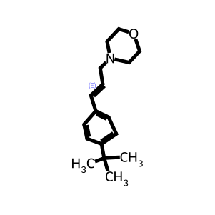 CC(C)(C)c1ccc(/C=C/CN2CCOCC2)cc1